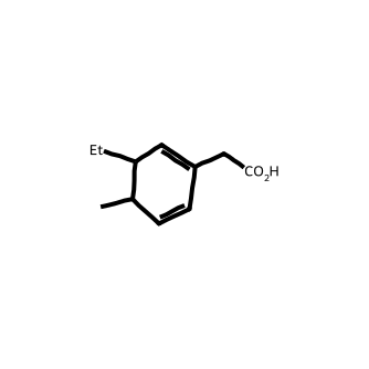 CCC1C=C(CC(=O)O)C=CC1C